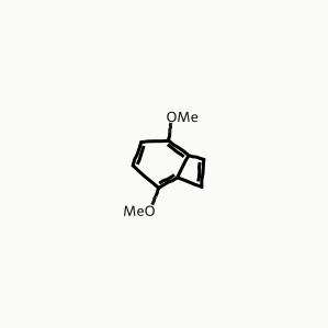 COc1ccc(OC)c2c1C=C2